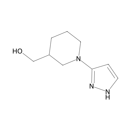 OCC1CCCN(c2cc[nH]n2)C1